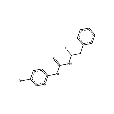 FC(Cc1ccccc1)NC(=S)Nc1ccc(Br)cn1